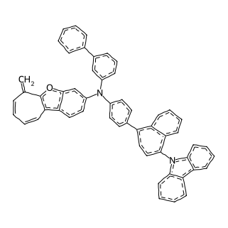 C=C1C=CC=Cc2c1oc1cc(N(c3ccc(-c4ccc(-n5c6ccccc6c6ccccc65)c5ccccc45)cc3)c3cccc(-c4ccccc4)c3)ccc21